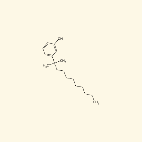 CCCCCCCCCC(C)(C)c1cccc(O)c1